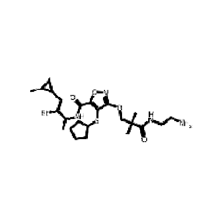 CCC(CC1C[C@@H]1C)C(C)NC(=O)c1onc(OCC(C)(C)C(=O)NCCN)c1SC1CCCC1